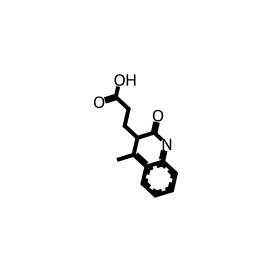 CC1=c2ccccc2=NC(=O)C1CCC(=O)O